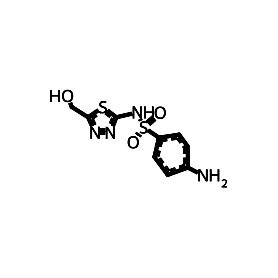 Nc1ccc(S(=O)(=O)Nc2nnc(CO)s2)cc1